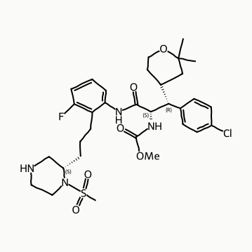 COC(=O)N[C@H](C(=O)Nc1cccc(F)c1CCC[C@H]1CNCCN1S(C)(=O)=O)[C@@H](c1ccc(Cl)cc1)C1CCOC(C)(C)C1